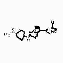 CN(C)[C@H]1CC[C@H](Nc2ncc3c(-c4cnc5ncc(Cl)n5c4)ccn3n2)CC1